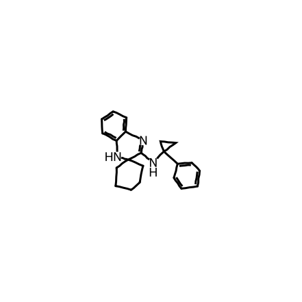 c1ccc(C2(NC3=Nc4ccccc4NC34CCCCC4)CC2)cc1